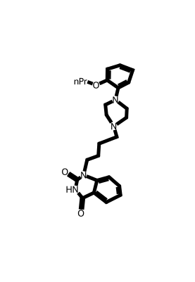 CCCOc1ccccc1N1CCN(CCCCn2c(=O)[nH]c(=O)c3ccccc32)CC1